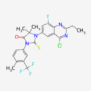 CCc1nc(Cl)c2cc(N3C(=S)N(c4ccc(C)c(C(F)(F)F)c4)C(=O)C3(C)C)cc(F)c2n1